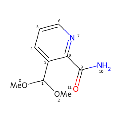 COC(OC)c1cccnc1C(N)=O